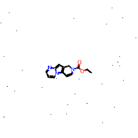 CCOC(=O)N1C=Cc2c(cc3ncccn23)C1